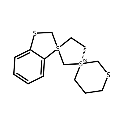 c1ccc2c(c1)SCS21CC[S@]2(CCCSC2)C1